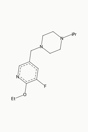 CCOc1ncc(CN2CCN(C(C)C)CC2)cc1F